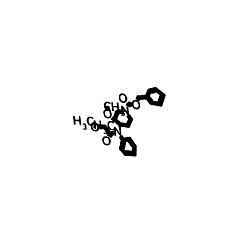 COCC(=O)N(c1ccccc1)[C@@H]1CCN(C(=O)OCc2ccccc2)C[C@]1(C)OC